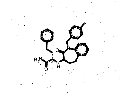 Cc1ccc(CN2C(=O)C(N[C@@H](CCc3ccccc3)C(N)=O)CCc3ccccc32)cc1